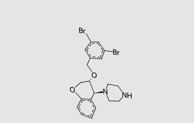 Brc1cc(Br)cc(CO[C@H]2COc3ccccc3[C@@H]2N2CCNCC2)c1